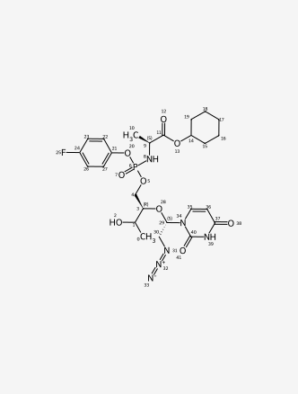 CC(O)[C@@H](COP(=O)(N[C@@H](C)C(=O)OC1CCCCC1)Oc1ccc(F)cc1)O[C@@H](CN=[N+]=[N-])n1ccc(=O)[nH]c1=O